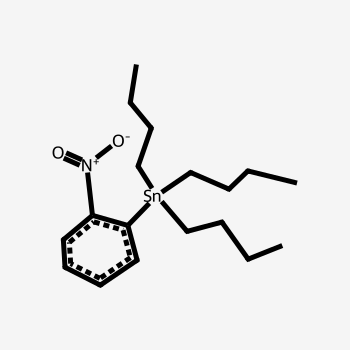 CCC[CH2][Sn]([CH2]CCC)([CH2]CCC)[c]1ccccc1[N+](=O)[O-]